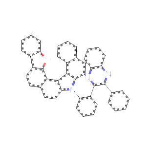 c1ccc(-c2nc3ccccc3nc2-c2ccccc2-n2c3ccc4ccccc4c3c3c4c(ccc5c6ccccc6oc54)ccc32)cc1